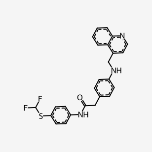 O=C(Cc1ccc(NCc2ccnc3ccccc23)cc1)Nc1ccc(SC(F)F)cc1